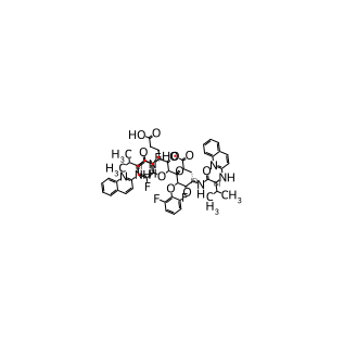 CC(C)[C@H](Nc1ccc2ccccc2n1)C(=O)N[C@@H](CCC(=O)O)C(=O)C(Oc1c(F)cccc1F)C(=O)C(Oc1c(F)cccc1F)C(=O)[C@H](CCC(=O)O)NC(=O)[C@@H](Nc1ccc2ccccc2n1)C(C)C